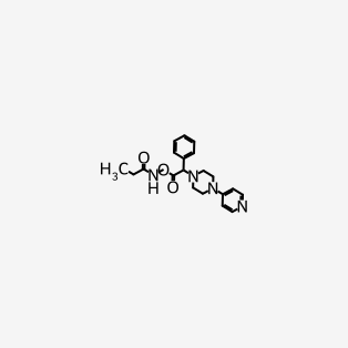 CCC(=O)NOC(=O)C(c1ccccc1)N1CCN(c2ccncc2)CC1